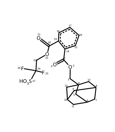 O=C(OCC12CC3CC(CC(C3)C1)C2)c1ccccc1C(=O)OCC(F)(F)S(=O)(=O)O